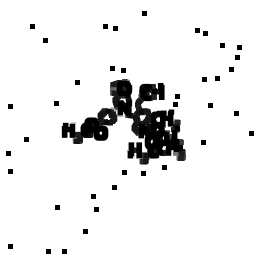 C#CCc1cc(C)c2c(ccn2C(=O)OC(C)(C)C)c1CN1CC[C@]2(CCCO2)C[C@H]1c1ccc(C(=O)OC)cc1